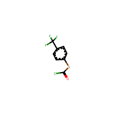 O=C(Cl)Sc1ccc(C(F)(F)F)cc1